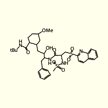 COC1CCC(C(=O)NC(C)(C)C)C(CC(O)C(Cc2ccccc2)NC(=O)C(CS(=O)(=O)c2ccc3ccccc3n2)NS(C)(=O)=O)C1